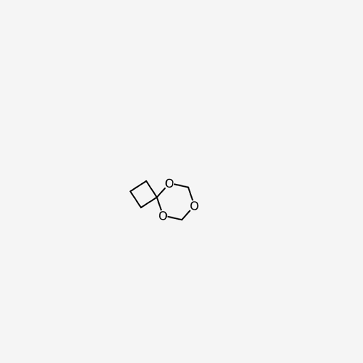 C1CC2(C1)OCOCO2